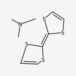 C1=CSC(=C2SC=CS2)S1.CN(C)C